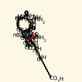 CCCC[C@H](NC(=O)[C@H](CNC(=O)CN(CC(=O)O)CC(=O)O)NC(=O)[C@H](CC1=CCC=N1)NC(=O)[C@H](CCC(N)=O)NC(=O)[C@H](CO)NC(=O)CNC(=O)COCCOCCNC(=O)CCCCCCCCCCCCCCC(=O)O)C(=O)N[C@H]1CCC(=O)CCCCC[C@@H](C(N)=O)NC(=O)[C@H](Cc2c[nH]c3ccccc23)NC(=O)[C@H](CCCNC(=N)N)NC(=O)[C@@H](Cc2ccccc2)NC(=O)[C@@H]2C[C@@H](O)CN2C1=O